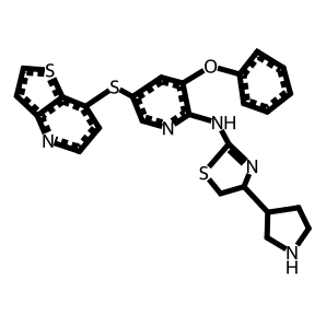 c1ccc(Oc2cc(Sc3ccnc4ccsc34)cnc2NC2=NC(C3CCNC3)CS2)cc1